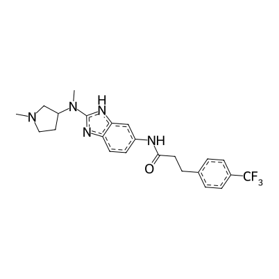 CN1CCC(N(C)c2nc3ccc(NC(=O)CCc4ccc(C(F)(F)F)cc4)cc3[nH]2)C1